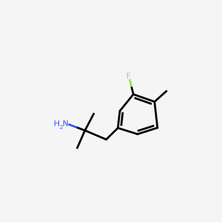 Cc1ccc(CC(C)(C)N)cc1F